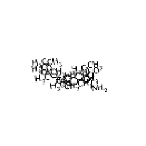 CC(C)C1=C2[C@H]3CC[C@@H]4[C@@]5(C)CC[C@H](OC(=O)CC(C)(C)C(=O)OC(C)(C)C)C(C)(C)[C@@H]5CC[C@@]4(C)[C@]3(C)CC[C@@]2(CCN)CC1=O